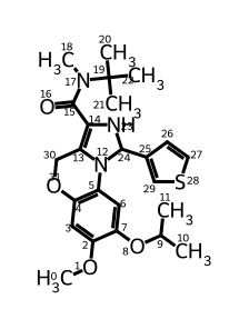 COc1cc2c(cc1OC(C)C)N1C(=C(C(=O)N(C)C(C)(C)C)NC1c1ccsc1)CO2